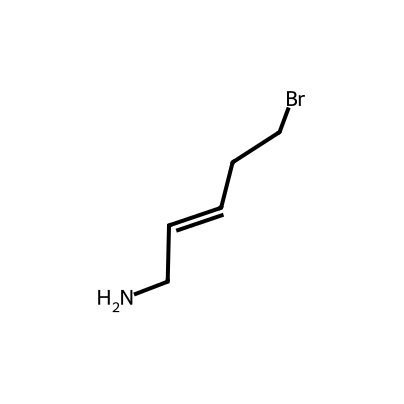 NCC=CCCBr